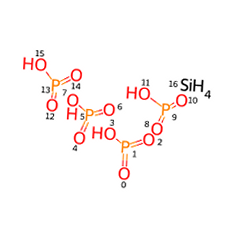 O=P(=O)O.O=P(=O)O.O=P(=O)O.O=P(=O)O.[SiH4]